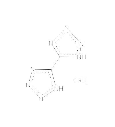 [CaH2].n1n[nH]c(-c2nnn[nH]2)n1